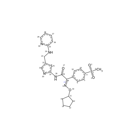 CS(=O)(=O)c1ccc(/C(=N\OC2CCCC2)C(=O)Nc2ncc(CNc3ccccn3)s2)cc1